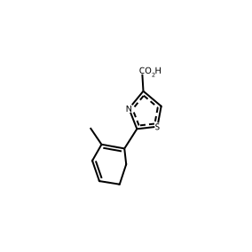 CC1=C(c2nc(C(=O)O)cs2)CCC=C1